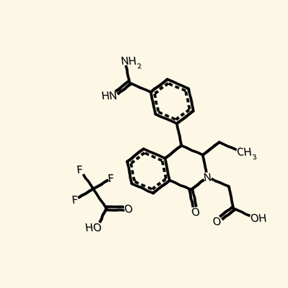 CCC1C(c2cccc(C(=N)N)c2)c2ccccc2C(=O)N1CC(=O)O.O=C(O)C(F)(F)F